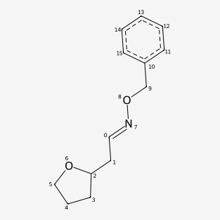 C(CC1CCCO1)=NOCc1ccccc1